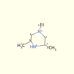 CCN1CC(C)NC(C)C1